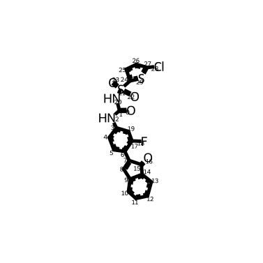 O=C(Nc1ccc(C2=Cc3ccccc3C2=O)c(F)c1)NS(=O)(=O)c1ccc(Cl)s1